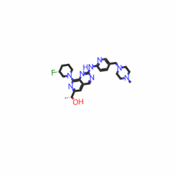 C[C@@H](O)c1cc2cnc(Nc3ccc(CN4CCN(C)CC4)cn3)nc2c(N2CCC[C@@H](F)C2)n1